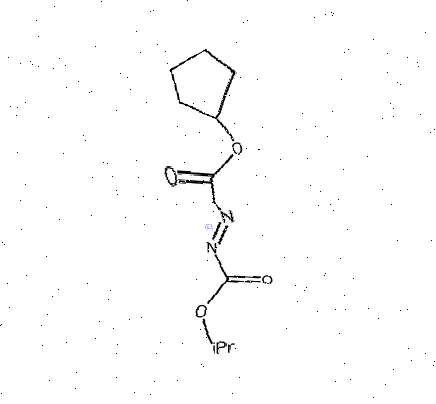 CC(C)OC(=O)/N=N/C(=O)OC1CCCC1